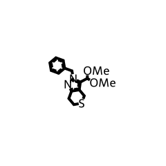 COC(OC)c1c2c(nn1Cc1ccccc1)CCSC2